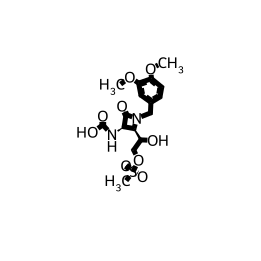 COc1ccc(CN2C(=O)[C@@H](NC(=O)O)[C@@H]2C(O)COS(C)(=O)=O)cc1OC